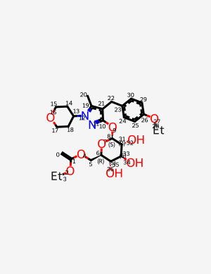 C=C(OCC)OC[C@H]1O[C@@H](Oc2nn(C3CCOCC3)c(C)c2Cc2ccc(OCC)cc2)[C@H](O)[C@@H](O)[C@@H]1O